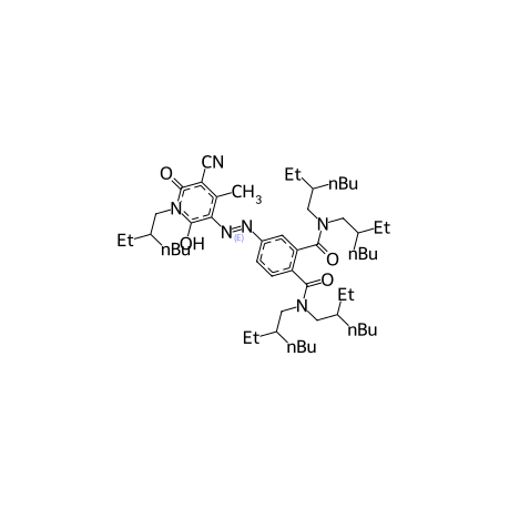 CCCCC(CC)CN(CC(CC)CCCC)C(=O)c1ccc(/N=N/c2c(C)c(C#N)c(=O)n(CC(CC)CCCC)c2O)cc1C(=O)N(CC(CC)CCCC)CC(CC)CCCC